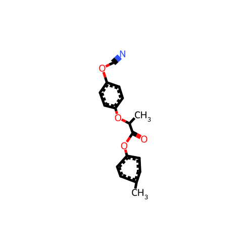 Cc1ccc(OC(=O)C(C)Oc2ccc(OC#N)cc2)cc1